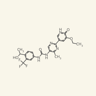 CCOc1cc(-c2ncc(NC(=O)Nc3ccc(C(C)O)c(C(F)(F)F)c3)c(C)n2)c[nH]c1=O